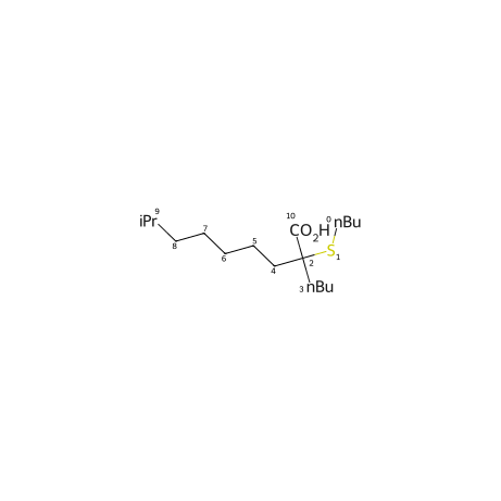 CCCCSC(CCCC)(CCCCCC(C)C)C(=O)O